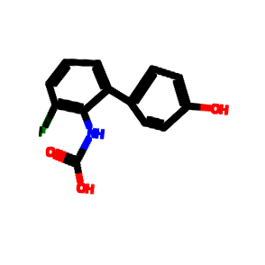 O=C(O)Nc1c(F)cccc1-c1ccc(O)cc1